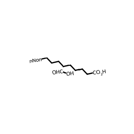 CCCCCCCCCCCCCCCCCC(=O)O.O=CO